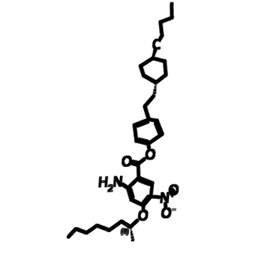 CCCCCC[C@@H](C)Oc1cc(N)c(C(=O)Oc2ccc(CC[C@H]3CC[C@H](CCCCC)CC3)cc2)cc1[N+](=O)[O-]